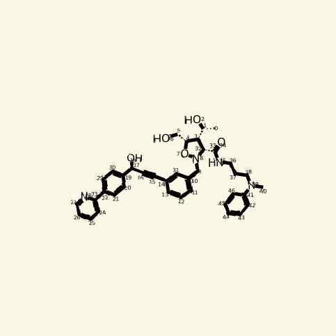 C[C@@H](O)[C@H]1[C@@H](CO)ON(Cc2cccc(C#CC(O)c3ccc(-c4ccccn4)cc3)c2)[C@H]1C(=O)NCCCN(C)c1ccccc1